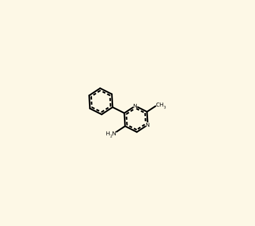 Cc1ncc(N)c(-c2ccccc2)n1